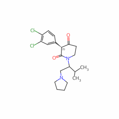 CC(C)C(CN1CCCC1)N1CCC(=O)[C@H](c2ccc(Cl)c(Cl)c2)C1=O